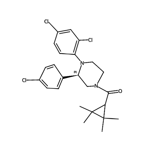 CC1(C)C(C(=O)N2CCN(c3ccc(Cl)cc3Cl)[C@H](c3ccc(Cl)cc3)C2)C1(C)C